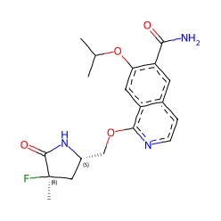 CC(C)Oc1cc2c(OC[C@@H]3C[C@@](C)(F)C(=O)N3)nccc2cc1C(N)=O